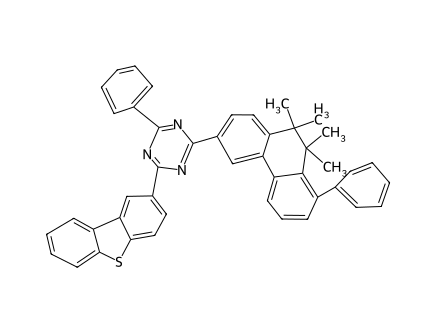 CC1(C)c2ccc(-c3nc(-c4ccccc4)nc(-c4ccc5sc6ccccc6c5c4)n3)cc2-c2cccc(-c3ccccc3)c2C1(C)C